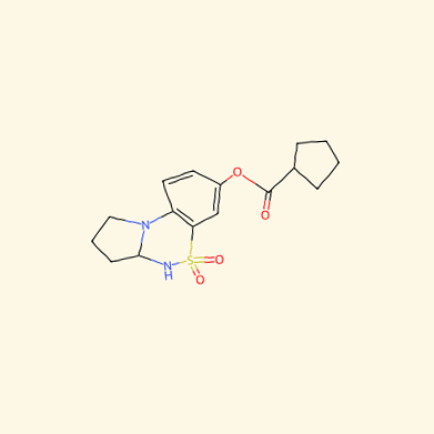 O=C(Oc1ccc2c(c1)S(=O)(=O)NC1CCCN21)C1CCCC1